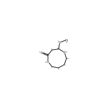 CCOC1CC(=O)OCCCCO1